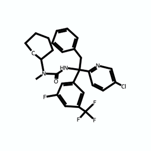 CN(C(=O)NC(Cc1ccccc1)(c1cc(F)cc(C(F)(F)F)c1)c1ccc(Cl)cn1)C1CCCCC1